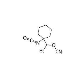 CCC(OC#N)C1(N=C=O)CCCCC1